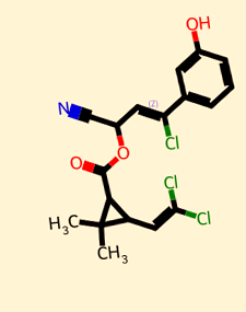 CC1(C)C(C=C(Cl)Cl)C1C(=O)OC(C#N)/C=C(\Cl)c1cccc(O)c1